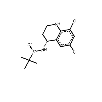 CC(C)(C)[S@@+]([O-])N[C@@H]1CCNc2c(Cl)cc(Cl)cc21